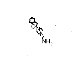 NCCN1CCN(C2Cc3ccccc3O2)CC1